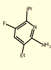 CCc1cc(F)c(C(C)C)nc1N